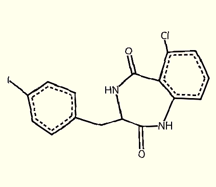 O=C1NC(Cc2ccc(I)cc2)C(=O)Nc2cccc(Cl)c21